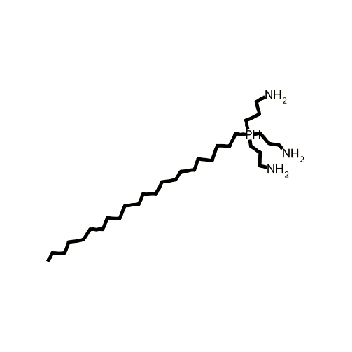 CCCCCCCCCCCCCCCCCCCCCC[PH](CCCN)(CCCN)CCCN